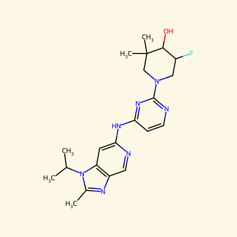 Cc1nc2cnc(Nc3ccnc(N4CC(F)C(O)C(C)(C)C4)n3)cc2n1C(C)C